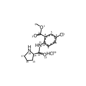 COC(=O)c1cc(Cl)ccc1NC(=O)[C@H]1CCCN1.Cl